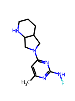 Cc1cc(N2CC3CCCNC3C2)nc(NF)n1